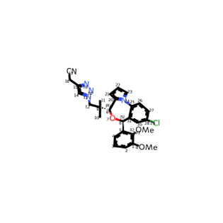 COc1cccc([C@H]2O[C@H](C(C)(C)Cn3cc(CC#N)nn3)c3cccn3-c3ccc(Cl)cc32)c1OC